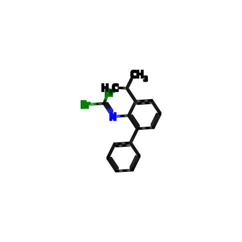 CC(C)c1cccc(-c2ccccc2)c1N=C(Br)Br